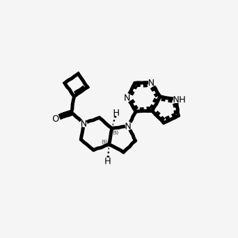 O=C(C1=CCC1)N1CC[C@@H]2CCN(c3ncnc4[nH]ccc34)[C@@H]2C1